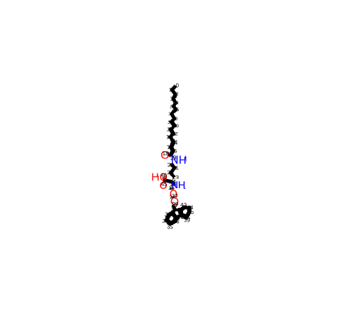 CCCCCCCCCCCCCCCCCC(=O)NCCCC[C@H](NCOCOCC1c2ccccc2-c2ccccc21)C(=O)O